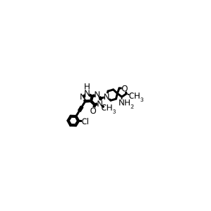 C[C@@H]1OCC2(CCN(c3nc4[nH]nc(C#Cc5ccccc5Cl)c4c(=O)n3C)CC2)[C@@H]1N